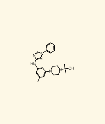 Cc1cc(Nc2ncn(-c3ccccc3)n2)cc(N2CCN(C(C)(C)O)CC2)c1